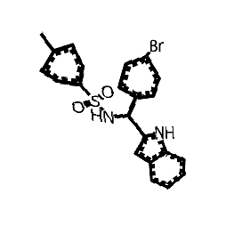 Cc1ccc(S(=O)(=O)NC(c2ccc(Br)cc2)c2cc3ccccc3[nH]2)cc1